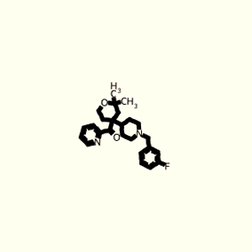 CC1(C)CC(C(=O)c2ccccn2)(C2CCN(Cc3cccc(F)c3)CC2)CCO1